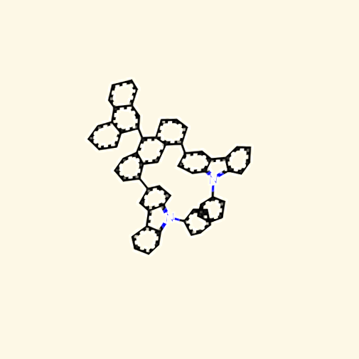 c1ccc(-n2c3ccccc3c3cc(-c4cccc5c(-c6cc7ccccc7c7ccccc67)c6cccc(-c7ccc8c(c7)c7ccccc7n8-c7ccccc7)c6cc45)ccc32)cc1